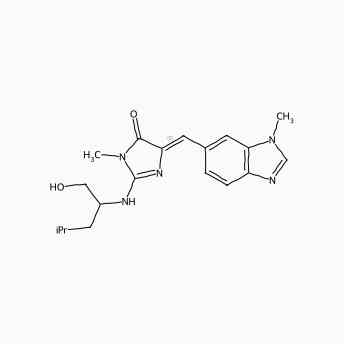 CC(C)CC(CO)NC1=N/C(=C\c2ccc3ncn(C)c3c2)C(=O)N1C